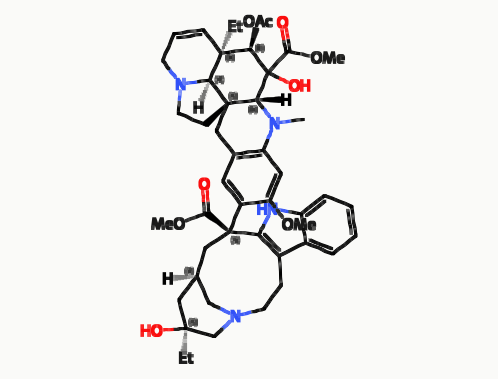 CC[C@]1(O)C[C@@H]2CN(CCc3c([nH]c4ccccc34)[C@@](C(=O)OC)(c3cc4c(cc3OC)N(C)[C@H]3C(O)(C(=O)OC)[C@H](OC(C)=O)[C@]5(CC)C=CCN6CC[C@@]3(C4)[C@@H]65)C2)C1